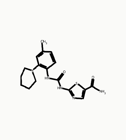 Cc1ccc(NC(=O)Nc2ncc(C(N)=O)s2)c(N2CCCCC2)c1